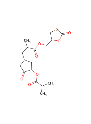 CC(C)C(=O)OC1CC(CC(C)C(=O)OCC2CSC(=O)O2)CC1=O